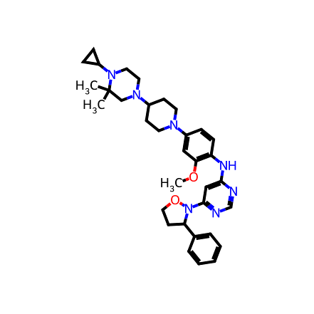 COc1cc(N2CCC(N3CCN(C4CC4)C(C)(C)C3)CC2)ccc1Nc1cc(N2OCCC2c2ccccc2)ncn1